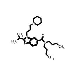 CCCCN(CCCC)C(=O)c1ccc2nc(C(C)C)n(CCCN3CCCCC3)c2c1